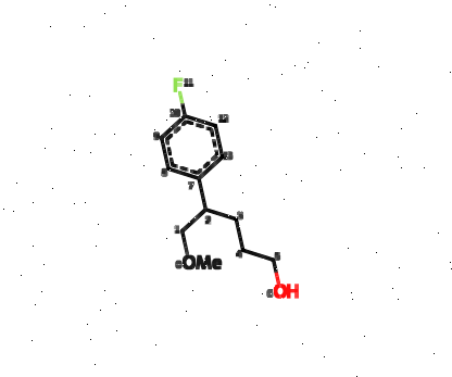 COCC(CCCO)c1ccc(F)cc1